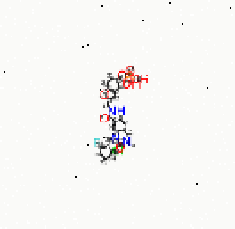 CN1Cc2ccc(C(=O)NCc3cc4cc(OP(=O)(O)O)ccc4o3)cc2N(Cc2c(F)cccc2Cl)C1=O